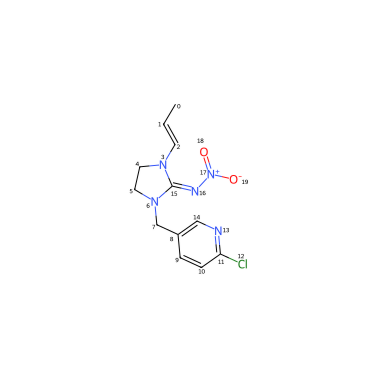 CC=CN1CCN(Cc2ccc(Cl)nc2)C1=N[N+](=O)[O-]